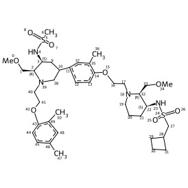 COC[C@H]1[C@@H](NS(C)(=O)=O)CC(c2ccc(OCCN3CCC[C@H](NS(=O)(=O)CC4CCC4)[C@@H]3COC)c(C)c2)CN1CCOc1ccc(C)cc1C